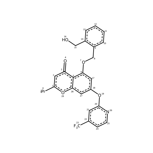 CC(C)c1cc(=O)c2c(OCc3ccccc3CO)cc(Oc3cc(C(F)(F)F)ccn3)cc2o1